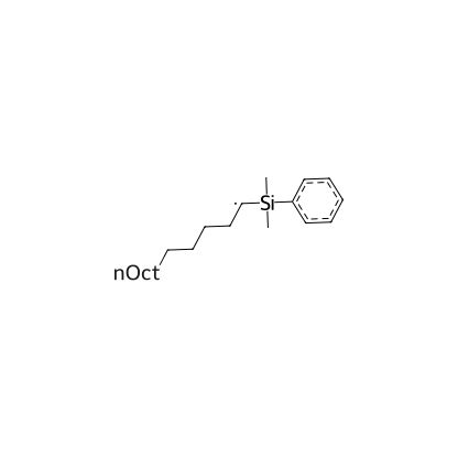 CCCCCCCCCCCC[CH][Si](C)(C)c1ccccc1